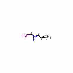 C=CCNCP